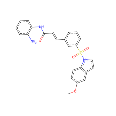 COc1ccc2c(ccn2S(=O)(=O)c2cccc(/C=C/C(=O)Nc3ccccc3N)c2)c1